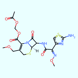 COCC1=C(C(=O)OCOC(C)=O)N2C(=O)C(NC(=O)/C(=N\OC)c3csc(N)n3)[C@H]2SC1